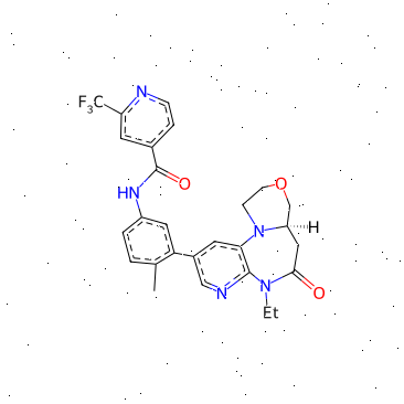 CCN1C(=O)C[C@@H]2COCCN2c2cc(-c3cc(NC(=O)c4ccnc(C(F)(F)F)c4)ccc3C)cnc21